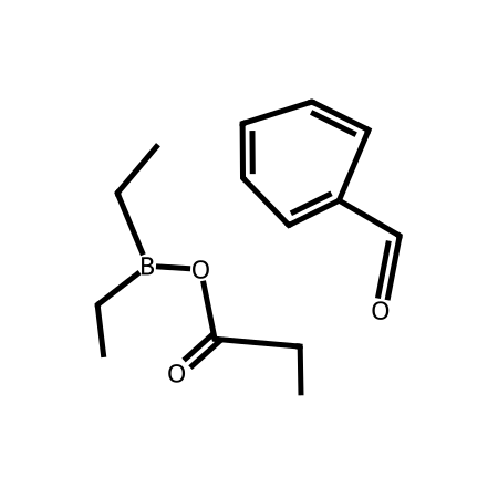 CCB(CC)OC(=O)CC.O=Cc1ccccc1